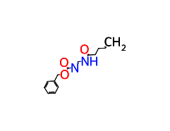 C=CCCC(=O)NC=NC(=O)OCc1ccccc1